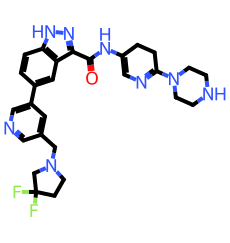 O=C(NC1=CN=C(N2CCNCC2)CC1)c1n[nH]c2ccc(-c3cncc(CN4CCC(F)(F)C4)c3)cc12